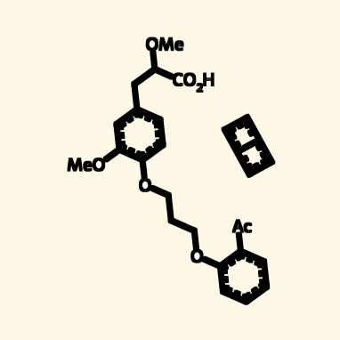 COc1cc(CC(OC)C(=O)O)ccc1OCCCOc1ccccc1C(C)=O.c1cc2ccc1-2